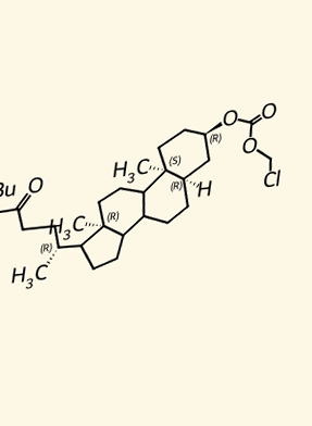 CCCCOC(=O)CC[C@@H](C)C1CCC2C3CC[C@@H]4C[C@H](OC(=O)OCCl)CC[C@]4(C)C3CC[C@@]21C